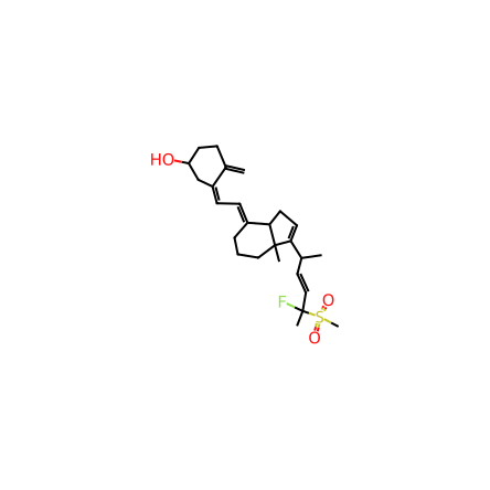 C=C1CCC(O)C/C1=C/C=C1\CCCC2(C)C(C(C)/C=C/C(C)(F)S(C)(=O)=O)=CCC12